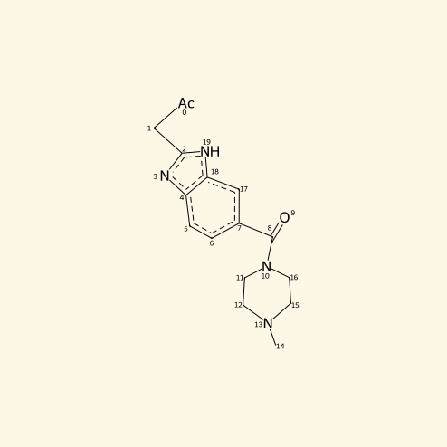 CC(=O)Cc1nc2ccc(C(=O)N3CCN(C)CC3)cc2[nH]1